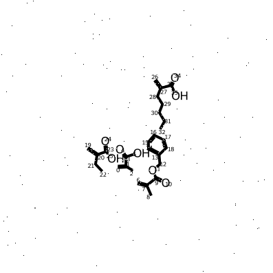 C=C(C)C(=O)O.C=C(C)C(=O)OCc1ccccc1.C=C(CC)C(=O)O.C=C(CCCCC)C(=O)O